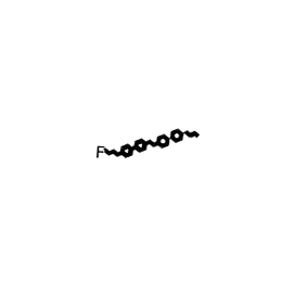 C/C=C/C[C@H]1CC[C@H](C2CCC(CCc3ccc(-c4ccc(CCCCF)cc4)cc3)CC2)CC1